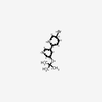 CC(C)(C)Oc1cncc(-c2ccc(Br)cn2)c1